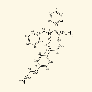 Cc1c(-c2ccccc2)n(Cc2ccccc2)c2cc(-c3ccc(OCC#N)cc3)ccc12